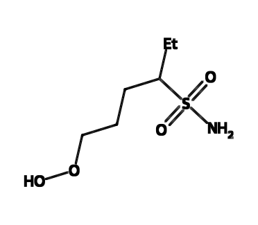 CCC(CCCOO)S(N)(=O)=O